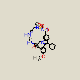 COc1ccc2c(c1)C1CC13Cn1c-2c(C2CCCCC2)c2ccc(cc21)C(=O)NS(=O)(=O)N(C)C/C=C/NCCNC3=O